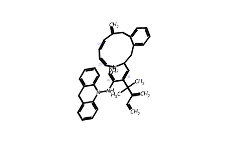 C=CC(=C)C(C)(C)C(=C/C1Cc2ccccc2CC(=C)/C=C\C=C/N1)/C(=C\N)NN1c2ccccc2Cc2ccccc21